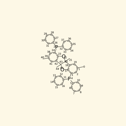 Cc1cc(P(c2ccccc2)c2ccccc2)c2c(c1)C1(C)Oc3c(P(c4ccccc4)c4ccccc4)cc(C)cc3C1(C)O2